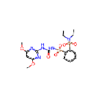 CCN(CC)S(=O)(=O)c1ccccc1S(=O)(=O)NC(=O)Nc1nc(OC)cc(OC)n1